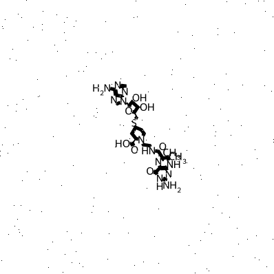 CC1(C)Nc2nc(N)[nH]c(=O)c2N=C1C(=O)NCCN1CC[C@@H](SC[C@H]2O[C@@H](n3cnc4c(N)ncnc43)[C@H](O)[C@@H]2O)C[C@@H]1C(=O)O